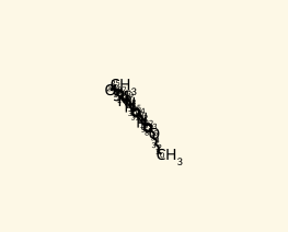 CCCCCCOc1ccc(N=Nc2ccc(N=Nc3nc4sc(C(C)=O)cc4s3)cc2)cc1